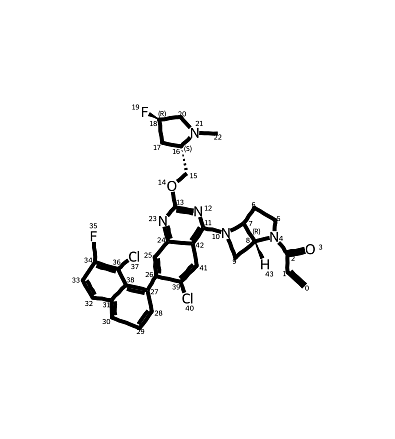 C=CC(=O)N1CCC2[C@H]1CN2c1nc(OC[C@@H]2C[C@@H](F)CN2C)nc2cc(-c3cccc4ccc(F)c(Cl)c34)c(Cl)cc12